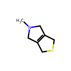 CN1CC2=C(CSC2)C1